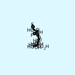 O=C(COc1ccc([C@]2(c3ccc(F)cc3)NC(=O)[C@@H]2SCC(O)c2ccc(F)cc2)cc1)NCC(=O)N[C@@H](C(=O)O)[C@@H](O)[C@H](O)[C@H](O)CO